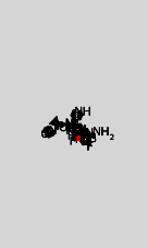 Nc1nc2c(-c3ncc4c(N5CCNCC5)nc(OCC5(CN6CCOCC6)CC5)nc4c3C(F)(F)F)ccc(F)c2s1